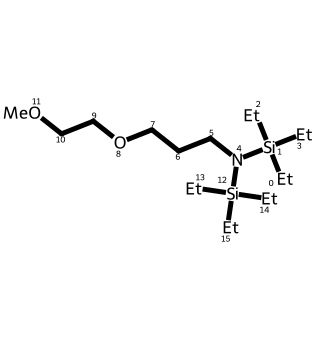 CC[Si](CC)(CC)N(CCCOCCOC)[Si](CC)(CC)CC